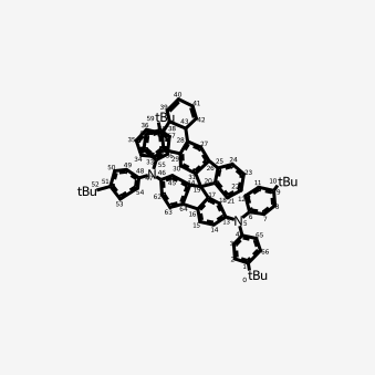 CC(C)(C)c1ccc(N(c2ccc(C(C)(C)C)cc2)c2ccc3c(c2)C2(c4ccccc4-c4cc5c(cc42)-c2ccccc2C2C=CC=CC52)c2cc(N(c4ccc(C(C)(C)C)cc4)c4ccc(C(C)(C)C)cc4)ccc2-3)cc1